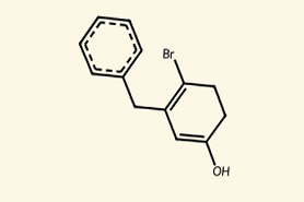 OC1=CC(Cc2ccccc2)=C(Br)CC1